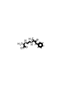 CCC(=O)[C@H](C)NCCN[C@@H](C)C(=O)Cc1ccccc1